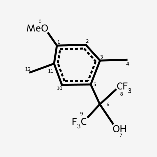 COc1cc(C)c(C(O)(C(F)(F)F)C(F)(F)F)cc1C